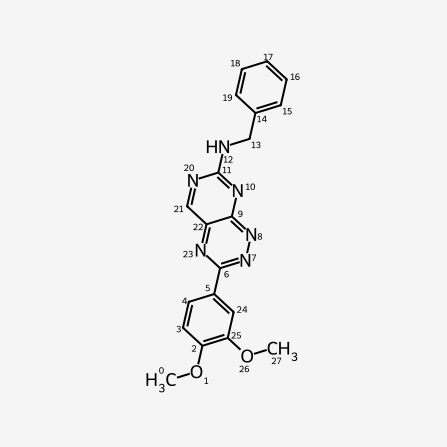 COc1ccc(-c2nnc3nc(NCc4ccccc4)ncc3n2)cc1OC